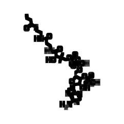 C=CCC(=O)SCCNC(=O)CCNC(=O)[C@H](O)C(C)(C)COP(=O)(O)OP(=O)(O)OC[C@H]1O[C@@H](n2cnc3c(N)ncnc32)[C@H](O)[C@@H]1OP(=O)(O)O